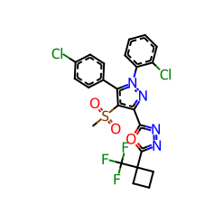 CS(=O)(=O)c1c(-c2nnc(C3(C(F)(F)F)CCC3)o2)nn(-c2ccccc2Cl)c1-c1ccc(Cl)cc1